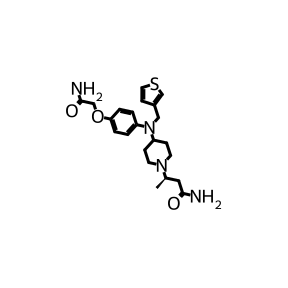 C[C@H](CC(N)=O)N1CCC(N(Cc2ccsc2)c2ccc(OCC(N)=O)cc2)CC1